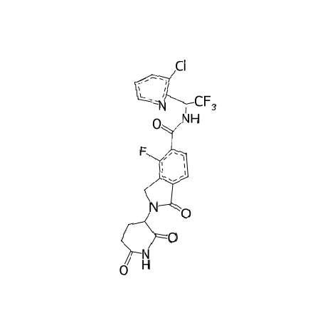 O=C1CCC(N2Cc3c(ccc(C(=O)NC(c4ncccc4Cl)C(F)(F)F)c3F)C2=O)C(=O)N1